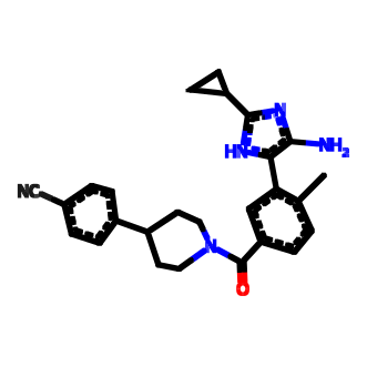 Cc1ccc(C(=O)N2CCC(c3ccc(C#N)cc3)CC2)cc1-c1[nH]c(C2CC2)nc1N